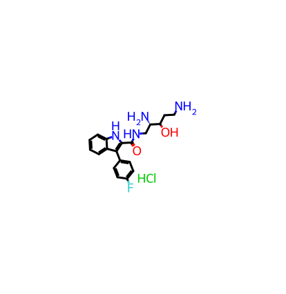 Cl.NCCC(O)[C@@H](N)CNC(=O)c1[nH]c2ccccc2c1-c1ccc(F)cc1